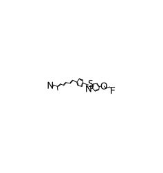 C\C(C#N)=C/C=C/C=C/c1ccc(-c2nc3ccc(OCCF)cc3s2)cc1